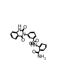 NC(=O)c1ccccc1NS(=O)(=O)c1cccc(-n2c(=O)[nH]c3ccccc3c2=O)c1